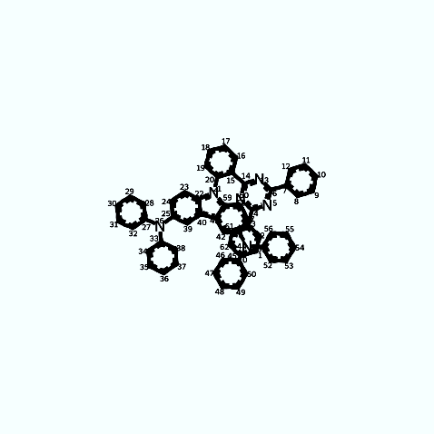 c1ccc(-c2nc(-c3ccccc3)nc(-c3ccccc3-n3c4ccc(N(c5ccccc5)c5ccccc5)cc4c4cc(N(c5ccccc5)c5ccccc5)ccc43)n2)cc1